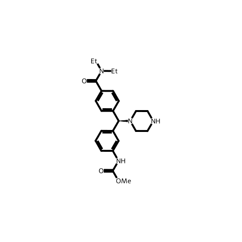 CCN(CC)C(=O)c1ccc([C@H](c2cccc(NC(=O)OC)c2)N2CCNCC2)cc1